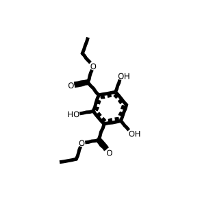 CCOC(=O)c1c(O)cc(O)c(C(=O)OCC)c1O